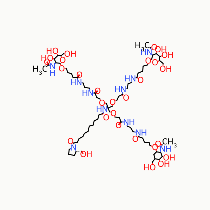 CC(=O)NC1C(OCCCCC(=O)NCCCNC(=O)CCOCC(COCCC(=O)NCCCNC(=O)CCCCOC2OC(CO)C(O)C(O)C2NC(C)=O)(COCCC(=O)NCCCNC(=O)CCCCOC2OC(CO)C(O)C(O)C2NC(C)=O)NC(=O)CCCCCCCCCCC(=O)N2CCC[C@H]2CO)CC(CO)C(O)C1O